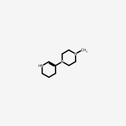 CN1CCN(C2=CNCCC2)CC1